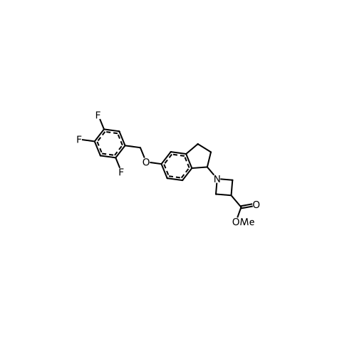 COC(=O)C1CN(C2CCc3cc(OCc4cc(F)c(F)cc4F)ccc32)C1